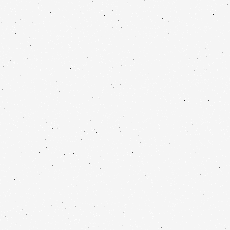 CC=CCCC=CCCC(=O)CC